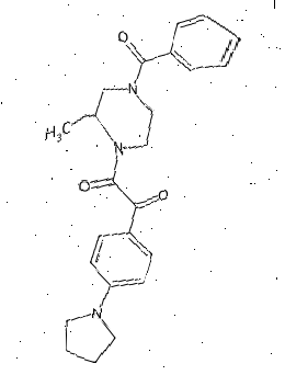 CC1CN(C(=O)c2ccccc2)CCN1C(=O)C(=O)c1ccc(N2CCCC2)cc1